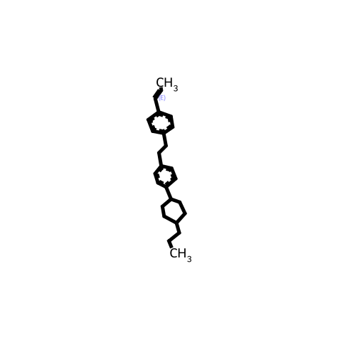 C/C=C/c1ccc(CCc2ccc(C3CCC(CCC)CC3)cc2)cc1